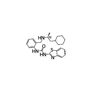 C[C@@H](CC1CCCCC1)NCc1ccccc1NC(=O)Nc1nc2ccccc2s1